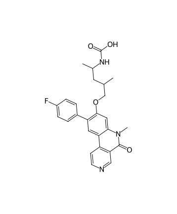 CC(COc1cc2c(cc1-c1ccc(F)cc1)c1ccncc1c(=O)n2C)CC(C)NC(=O)O